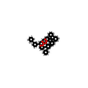 c1ccc(-c2cccc(-c3ccc(N(c4cccc(-c5ccccc5)c4-c4ccccc4-c4ccccc4)c4cccc5c4-c4ccccc4C54c5ccccc5-c5ccccc54)cc3)c2)cc1